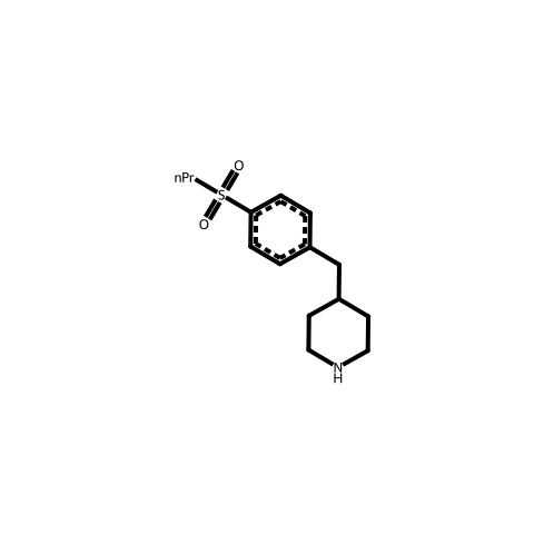 CCCS(=O)(=O)c1ccc(CC2CCNCC2)cc1